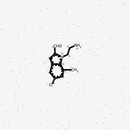 Cc1cc(Cl)cc2cc(C=O)n(CCN)c12